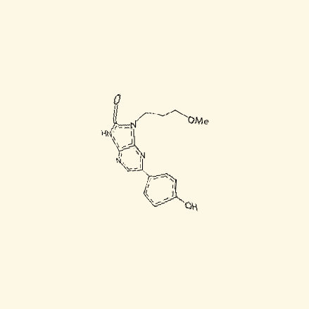 COCCCn1c(=O)[nH]c2ncc(-c3ccc(O)cc3)nc21